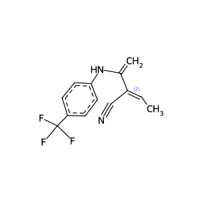 C=C(Nc1ccc(C(F)(F)F)cc1)/C(C#N)=C/C